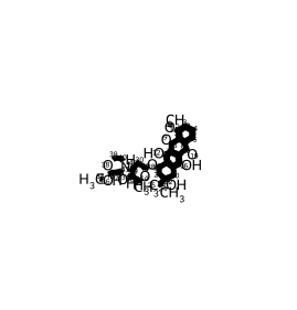 COc1cccc2c1C(=O)c1c(O)c3c(c(O)c1C2=O)C[C@@](O)(C(C)C)C[C@@H]3O[C@H]1C[C@H]2[C@H](O[C@@H]3[C@@H](OC)OCCN32)[C@H](C)O1